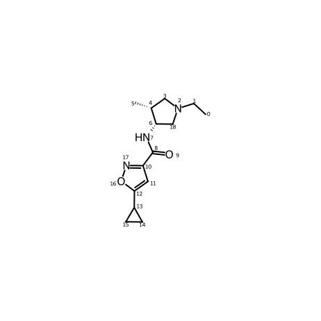 CCN1C[C@@H](C)[C@@H](NC(=O)c2cc(C3CC3)on2)C1